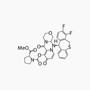 COC(=O)[C@@H]1CCCN1C(=O)Oc1c2n(ccc1=O)N([C@@H]1c3ccccc3SCc3c1ccc(F)c3F)[C@@H]1COCCN1C2=O